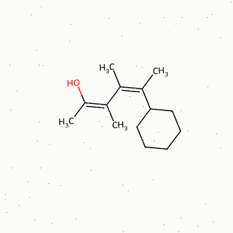 C/C(O)=C(C)/C(C)=C(/C)C1CCCCC1